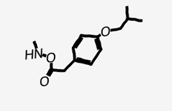 CNOC(=O)Cc1ccc(OCC(C)C)cc1